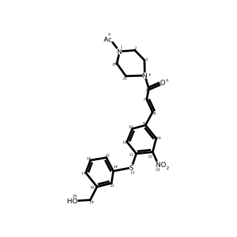 CC(=O)N1CCN(C(=O)C=Cc2ccc(Sc3cccc(CO)c3)c([N+](=O)[O-])c2)CC1